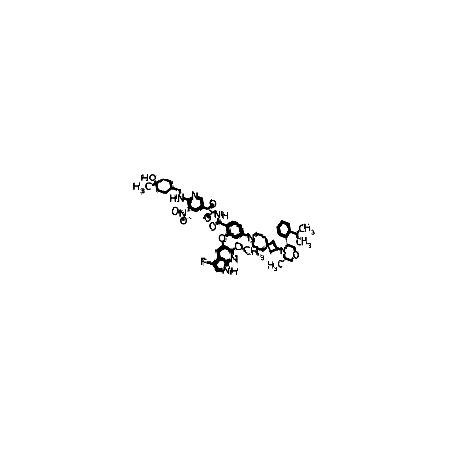 COc1nc2[nH]cc(F)c2cc1Oc1cc(N2CCC3(CC2)CC(N2[C@@H](C)COC[C@H]2c2ccccc2C(C)C)C3)ccc1C(=O)NS(=O)(=O)c1cnc(NCC2CCC(C)(O)CC2)c([N+](=O)[O-])c1